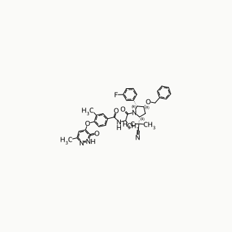 Cc1cc(Oc2ccc(C(=O)NC(C)C(=O)N3[C@H](c4cccc(F)c4)[C@H](OCc4ccccc4)C[C@@H]3C(C)(C)C#N)cc2C)c(=O)[nH]n1